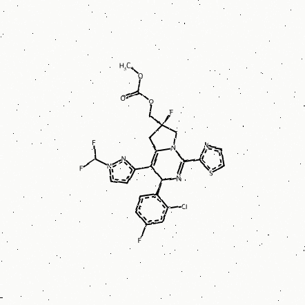 COC(=O)OC[C@@]1(F)CC2=C(c3ccn(C(F)F)n3)[C@H](c3ccc(F)cc3Cl)N=C(c3nccs3)N2C1